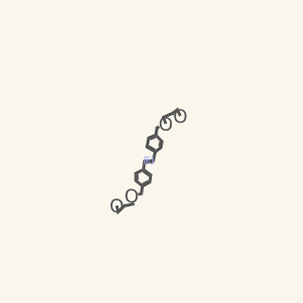 C(=C\c1ccc(COCC2CO2)cc1)/c1ccc(COCC2CO2)cc1